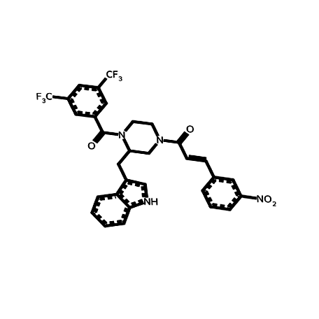 O=C(C=Cc1cccc([N+](=O)[O-])c1)N1CCN(C(=O)c2cc(C(F)(F)F)cc(C(F)(F)F)c2)C(Cc2c[nH]c3ccccc23)C1